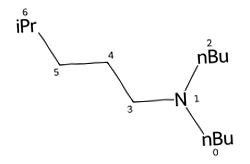 CCCCN(CCCC)CCCC(C)C